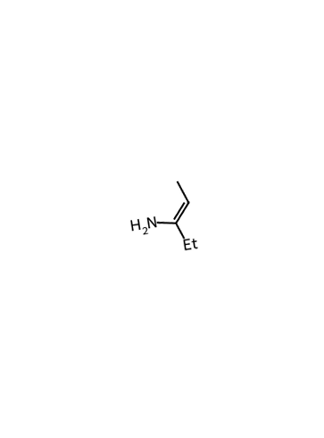 C/C=C(\N)CC